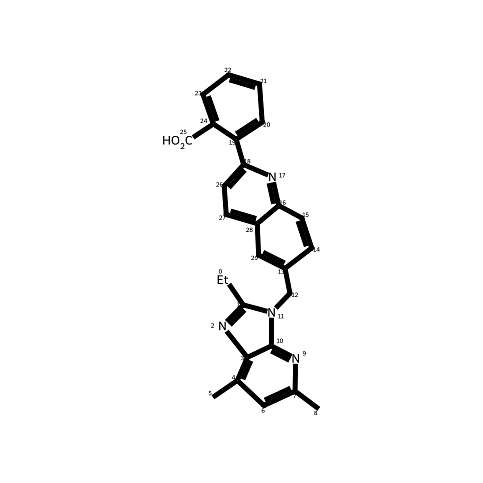 CCc1nc2c(C)cc(C)nc2n1Cc1ccc2nc(-c3ccccc3C(=O)O)ccc2c1